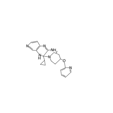 NC1=Nc2ccncc2NC1(C1CC1)N1CCC(Oc2ccccn2)CC1